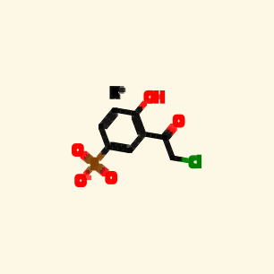 O=C(CCl)c1cc(S(=O)(=O)[O-])ccc1O.[K+]